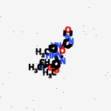 COc1cc2ncnc(Nc3cc(NC(=O)c4ccnc(N5CCOCC5)c4)ccc3C)c2cc1OCCN(C)C